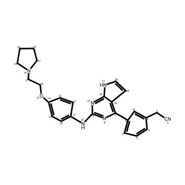 N#CCc1cccc(-c2nc(Nc3ccc(OCCN4CCCC4)cc3)nc3[nH]ccc23)c1